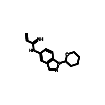 C=CC(=N)Nc1ccc2c(cnn2C2CCCCO2)c1